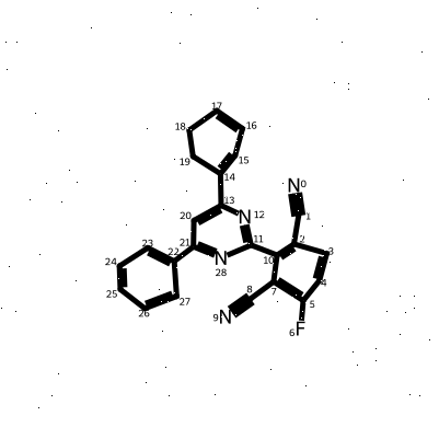 N#Cc1ccc(F)c(C#N)c1-c1nc(C2=CC=CCC2)cc(-c2ccccc2)n1